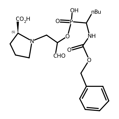 CCCCC(NC(=O)OCc1ccccc1)P(=O)(O)OC(C=O)CN1CCC[C@H]1C(=O)O